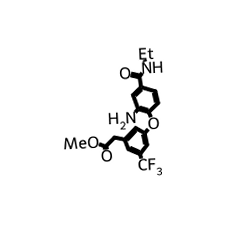 CCNC(=O)c1ccc(Oc2cc(CC(=O)OC)cc(C(F)(F)F)c2)c(N)c1